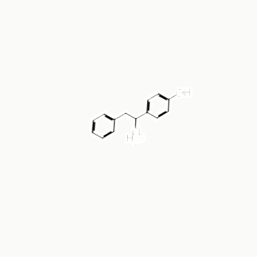 Oc1ccc(C(Cl)Cc2ccccc2)cc1.S